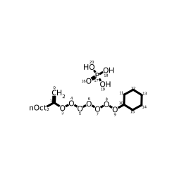 C=C(CCCCCCCC)OOOOOOOC1CCCCC1.O=P(O)(O)O